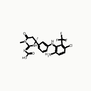 CN1C(=O)C[C@@](C)(c2cccc(Nc3c(N)ccc(Cl)c3C(F)(F)F)c2)N/C1=N\C(=O)O